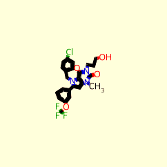 Cn1c(=O)n(CCCO)c(=O)c2c1cc(-c1cccc(OC(F)(F)F)c1)n2Cc1ccc(Cl)cc1